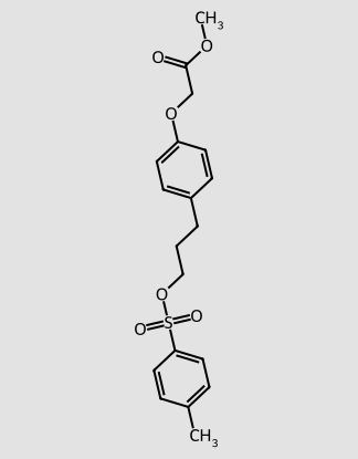 COC(=O)COc1ccc(CCCOS(=O)(=O)c2ccc(C)cc2)cc1